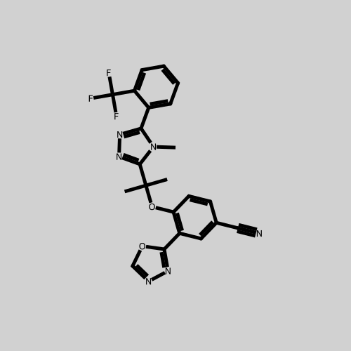 Cn1c(-c2ccccc2C(F)(F)F)nnc1C(C)(C)Oc1ccc(C#N)cc1-c1nnco1